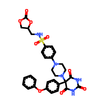 O=C1NC(=O)C(c2ccc(Oc3ccccc3)cc2)(N2CCN(c3ccc(S(=O)(=O)NCC4COC(=O)O4)cc3)CC2)C(=O)N1